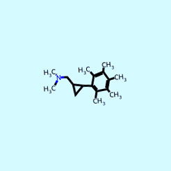 Cc1c(C)c(C)c(C2CC2CN(C)C)c(C)c1C